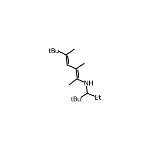 CCC(N/C(C)=C(C)/C=C(\C)C(C)(C)C)C(C)(C)C